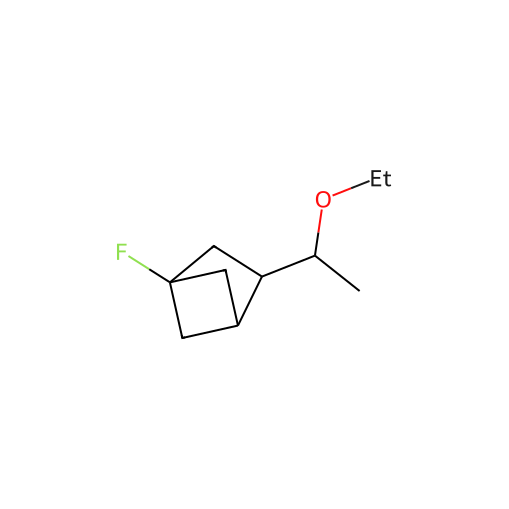 CCOC(C)C1CC2(F)CC1C2